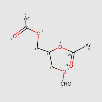 CC(=O)C(=O)OCC(COC=O)OC(=O)C(C)=O